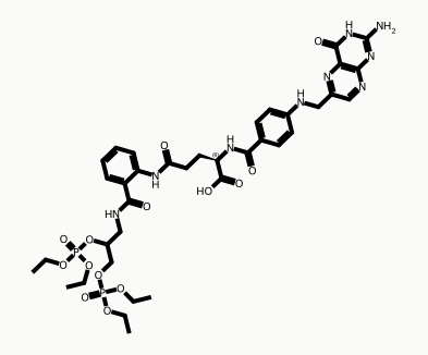 CCOP(=O)(OCC)OCC(CNC(=O)c1ccccc1NC(=O)CC[C@@H](NC(=O)c1ccc(NCc2cnc3nc(N)[nH]c(=O)c3n2)cc1)C(=O)O)OP(=O)(OCC)OCC